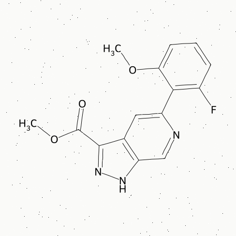 COC(=O)c1n[nH]c2cnc(-c3c(F)cccc3OC)cc12